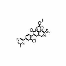 CCOC(=O)Cn1c(=O)c(-c2ccc(-c3cncc(C)n3)cc2Cl)cc2cnc(SC)nc21